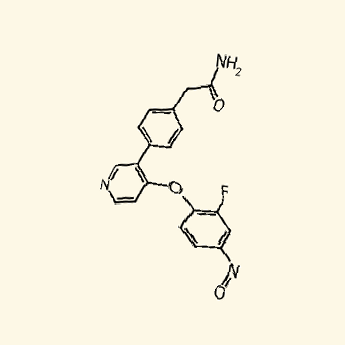 NC(=O)Cc1ccc(-c2cnccc2Oc2ccc(N=O)cc2F)cc1